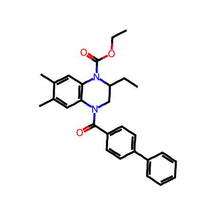 CCOC(=O)N1c2cc(C)c(C)cc2N(C(=O)c2ccc(-c3ccccc3)cc2)CC1CC